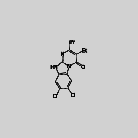 CCc1c(C(C)C)nc2[nH]c3cc(Cl)c(Cl)cc3n2c1=O